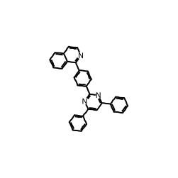 c1ccc(-c2cc(-c3ccccc3)nc(-c3ccc(-c4nccc5ccccc45)cc3)n2)cc1